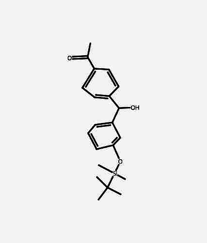 CC(=O)c1ccc(C(O)c2cccc(O[Si](C)(C)C(C)(C)C)c2)cc1